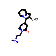 CN(C)CCn1ccc(-c2c(C=O)cc3ccccn23)cc1=O